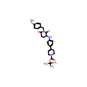 COc1ccc(CN2C(=O)CCC(Nc3ccc(C4=CCN(C(=O)OC(C)(C)C)CC4)cc3)C2=O)cc1